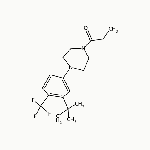 CCC(=O)N1CCN(c2ccc(C(F)(F)F)c(C(C)(C)C)c2)CC1